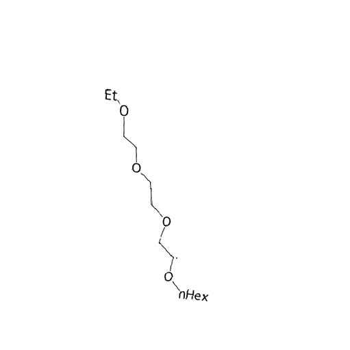 CCCCCCO[CH]COCCOCCOCC